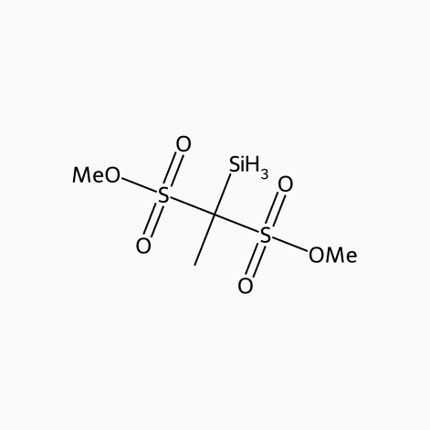 COS(=O)(=O)C(C)([SiH3])S(=O)(=O)OC